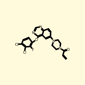 C=CC(=O)N1CCN(c2ccc3ncnc(Oc4ccc(Cl)c(Cl)c4F)c3c2)CC1